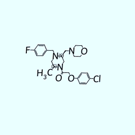 C[C@H]1CN(Cc2ccc(F)cc2)[C@@H](CN2CCOCC2)CN1C(=O)COc1ccc(Cl)cc1